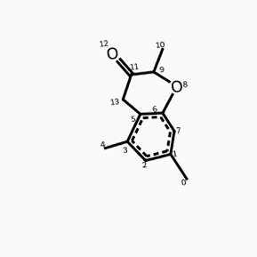 Cc1cc(C)c2c(c1)OC(C)C(=O)C2